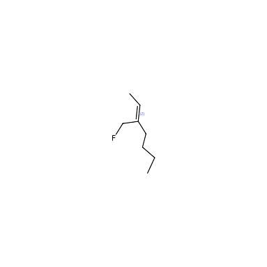 C/C=C(\CF)CCCC